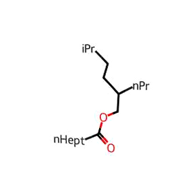 CCCCCCCC(=O)OCC(CCC)CCC(C)C